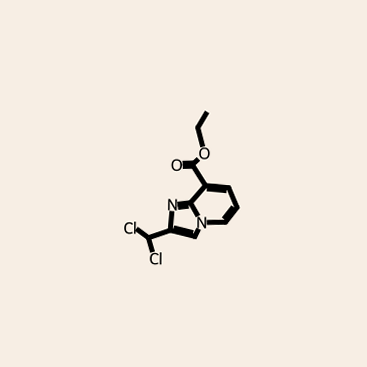 CCOC(=O)c1cccn2cc(C(Cl)Cl)nc12